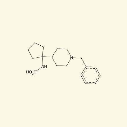 O=C(O)NC1(C2CCN(Cc3ccccc3)CC2)CCCC1